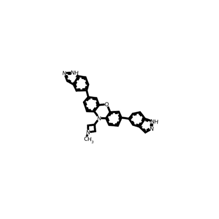 CN1CC(N2c3ccc(-c4ccc5[nH]ncc5c4)cc3Oc3cc(-c4ccc5[nH]ncc5c4)ccc32)C1